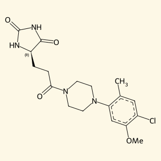 COc1cc(N2CCN(C(=O)CC[C@H]3NC(=O)NC3=O)CC2)c(C)cc1Cl